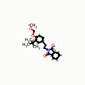 COCOc1ccc(CCN2C(=O)c3ccccc3C2=O)cc1C(C)(C)C